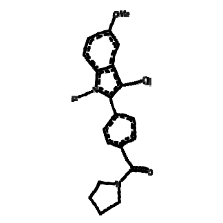 CCn1c(-c2ccc(C(=O)N3CCCC3)cc2)c(C#N)c2cc(OC)ccc21